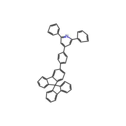 c1ccc(-c2cc(-c3ccc(-c4ccc5c(c4)-c4ccccc4C54c5ccccc5-c5ccccc54)cc3)cc(-c3ccccc3)n2)cc1